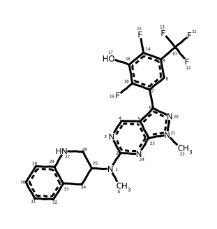 CN(c1ncc2c(-c3cc(C(F)(F)F)c(F)c(O)c3F)nn(C)c2n1)C1CNc2ccccc2C1